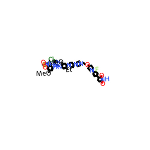 CCc1cc(Nc2ncc(Cl)c(Nc3ccc(OC)cc3N(C)S(C)(=O)=O)n2)c(OC)cc1N1CCC(N2CCN(CCOC3CCN(c4ccc(C5CCC(=O)NC5=O)cc4F)CC3)CC2)CC1